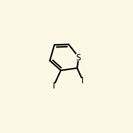 IC1=CC=CSC1I